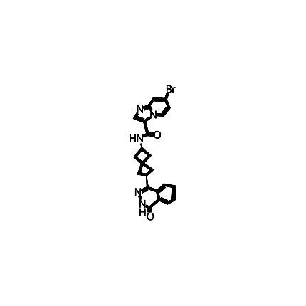 O=C(N[C@H]1CC2(C1)C[C@H](c1n[nH]c(=O)c3ccccc31)C2)c1cnc2cc(Br)ccn12